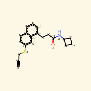 C#CCSc1ccc2cccc(CCC(=O)NC3CCC3)c2c1